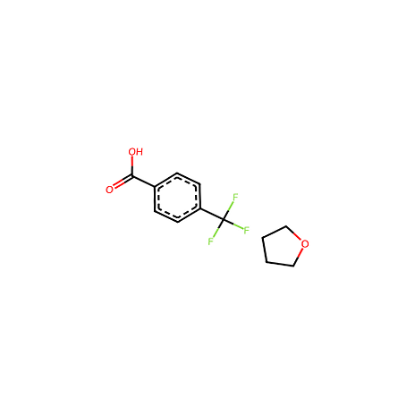 C1CCOC1.O=C(O)c1ccc(C(F)(F)F)cc1